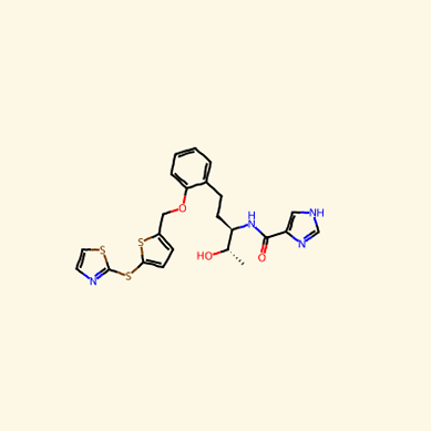 C[C@H](O)[C@@H](CCc1ccccc1OCc1ccc(Sc2nccs2)s1)NC(=O)c1c[nH]cn1